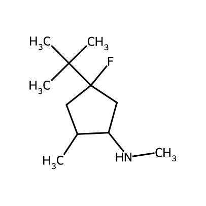 CNC1CC(F)(C(C)(C)C)CC1C